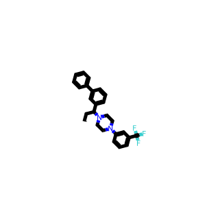 [CH2]CC(c1cccc(-c2ccccc2)c1)N1CCN(c2cccc(C(F)(F)F)c2)CC1